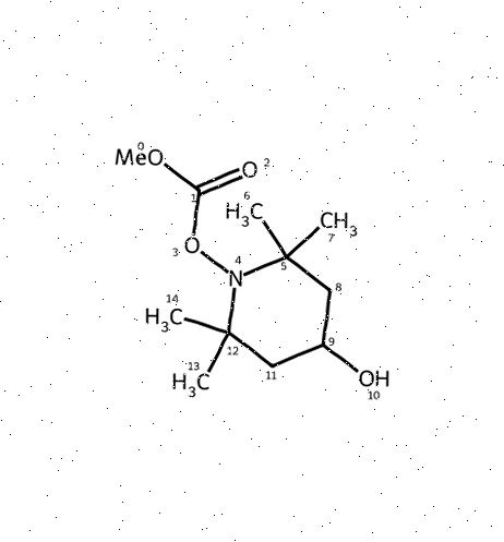 COC(=O)ON1C(C)(C)CC(O)CC1(C)C